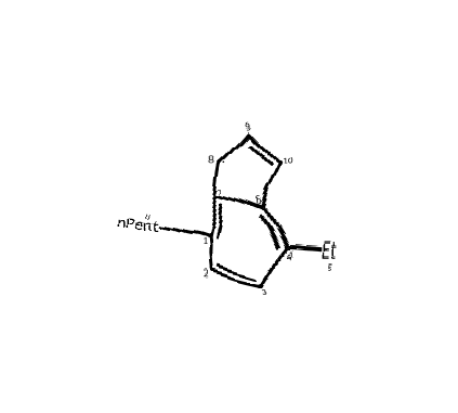 CCCCCc1ccc(CC)c2c1[CH]C=C2